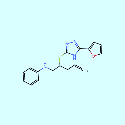 C=CCC(CNc1ccccc1)Sc1nnc(-c2ccco2)[nH]1